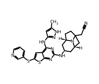 Cc1cc(Nc2nc(N[C@H]3C[C@@H]4CCC5(CC#N)C[C@H](C3)N45)nc3sc(Sc4cccnc4)cc23)n[nH]1